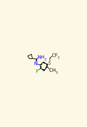 Cc1cc(F)c(/N=C(\N)C2CCC2)cc1SCC(F)(F)F